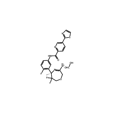 C[C@]1(c2cc(NC(=O)c3ccc(-c4nccs4)cn3)ccc2F)N=C(N)COCC1(F)F.O=CO